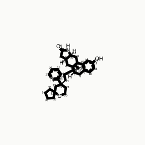 O=C1C[C@@H]2C[C@@]3(O)[C@H]4Cc5ccc(O)cc5[C@]3(CCN4CC[C@@]3(c4ccccn4)CCOC4(CCCC4)C3)C[C@@H]2N1